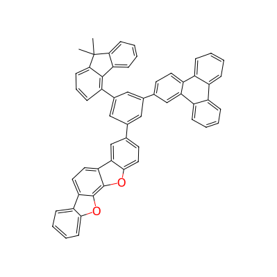 CC1(C)c2ccccc2-c2c(-c3cc(-c4ccc5oc6c(ccc7c8ccccc8oc76)c5c4)cc(-c4ccc5c6ccccc6c6ccccc6c5c4)c3)cccc21